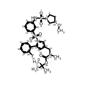 CO[C@H]1CCN(S(=O)(=O)Nc2cccc(S(=O)(=O)n3cc(CN(C)C(=O)OC(C)(C)C)cc3-c3ccccc3F)c2)C1